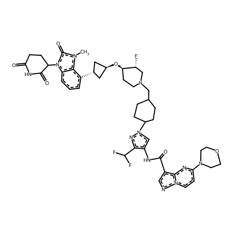 Cn1c(=O)n(C2CCC(=O)NC2=O)c2cccc([C@H]3C[C@H](O[C@@H]4CCN(CC5CCC(n6cc(NC(=O)c7cnn8ccc(N9CCOCC9)nc78)c(C(F)F)n6)CC5)C[C@H]4F)C3)c21